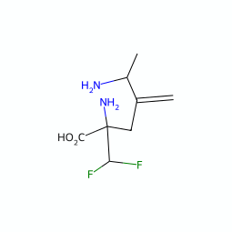 C=C(CC(N)(C(=O)O)C(F)F)C(C)N